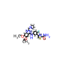 CCOc1cc2nc(CN3CCCC3)nc(Nc3ccc(F)c(-c4csc(C(N)=O)n4)c3)c2cc1OCC